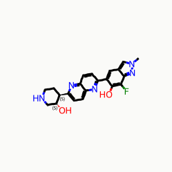 Cn1cc2cc(-c3ccc4nc([C@@H]5CCNC[C@H]5O)ccc4n3)c(O)c(F)c2n1